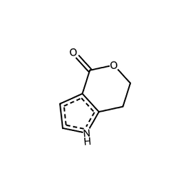 O=C1OCCc2[nH]ccc21